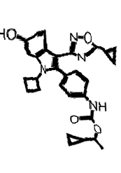 CC(OC(=O)Nc1ccc(-c2c(-c3noc(C4CC4)n3)c3ccc(O)cc3n2C2CCC2)cc1)C1CC1